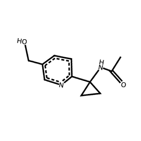 CC(=O)NC1(c2ccc(CO)cn2)CC1